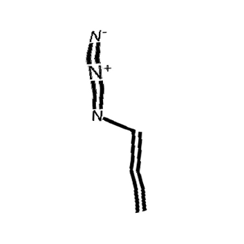 C=C=CN=[N+]=[N-]